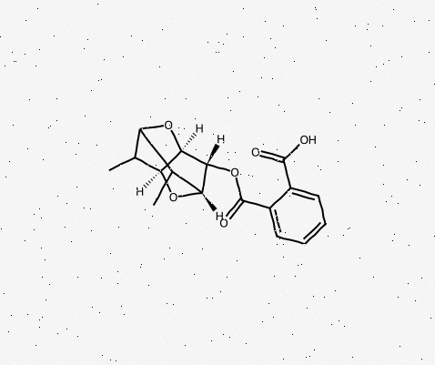 CC1C2O[C@H]3[C@H](OC(=O)c4ccccc4C(=O)O)[C@@H]1O[C@H]3C2C